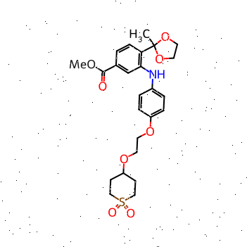 COC(=O)c1ccc(C2(C)OCCO2)c(Nc2ccc(OCCOC3CCS(=O)(=O)CC3)cc2)c1